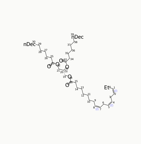 CC/C=C\C/C=C\C/C=C\CCCCCCCC(=O)OC[C@H](COC(=O)CCCCCCCCCCCCCCC)OC(=O)CCCCCCCCCCCCCCC